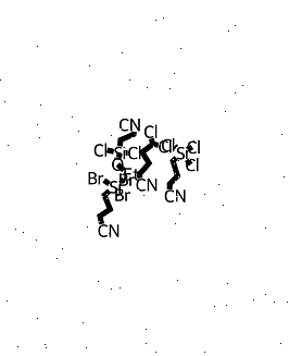 CCO[Si](Cl)(Cl)CCC#N.N#CCCCC(Cl)Cl.N#CCCC[Si](Br)(Br)Br.N#CCCC[Si](Cl)(Cl)Cl